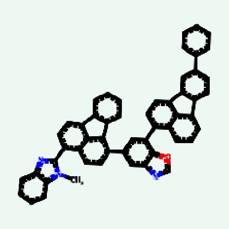 Cn1c(-c2ccc3c4c(c(-c5cc(-c6ccc7c8c(cccc68)-c6ccc(-c8ccccc8)cc6-7)c6ocnc6c5)ccc24)-c2ccccc2-3)nc2ccccc21